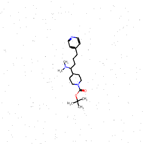 CN(C)C(CCCc1ccncc1)C1CCN(C(=O)OC(C)(C)C)CC1